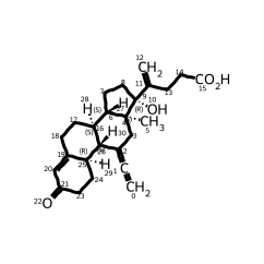 C=C=C1C[C@@]2(C)[C@@H](CC[C@@]2(O)C(=C)CCC(=O)O)[C@@H]2CCC3=CC(=O)CC[C@@H]3[C@@H]12